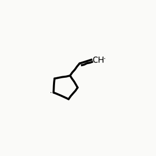 [CH]=CC1C[CH]CC1